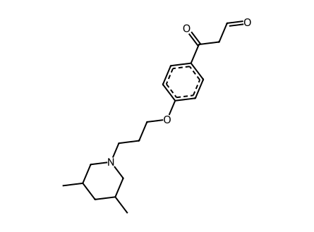 CC1CC(C)CN(CCCOc2ccc(C(=O)CC=O)cc2)C1